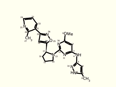 COc1cc(Nc2cc(C)[nH]n2)nc(N2CCC[C@H]2c2cc(-c3cccnc3C)no2)n1